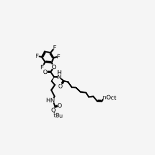 CCCCCCCC/C=C\CCCCCCCC(=O)N[C@@H](CCCCNC(=O)OC(C)(C)C)C(=O)Oc1c(F)c(F)cc(F)c1F